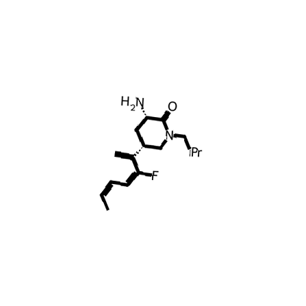 C=C(/C(F)=C\C=C/C)[C@@H]1C[C@H](N)C(=O)N(CC(C)C)C1